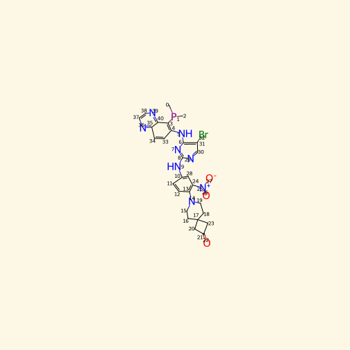 CP(C)c1c(Nc2nc(Nc3ccc(N4CCC5(CC4)CC(=O)C5)c([N+](=O)[O-])c3)ncc2Br)ccc2nccnc12